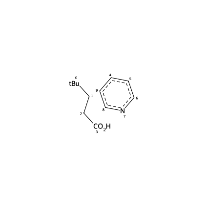 CC(C)(C)CCC(=O)O.c1ccncc1